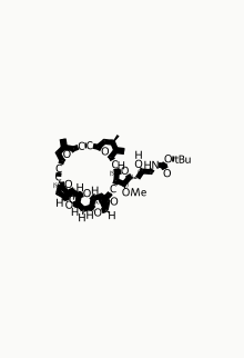 C=C1CC2CC[C@@]34C[C@H]5O[C@H]6[C@@H](O3)[C@H]3O[C@H](CC[C@@H]3O[C@H]6[C@H]5O4)CC(=O)CC3[C@H](CC4OC(CCC1O2)C[C@@H](C)C4=C)O[C@H](C[C@H](O)CNC(=O)OC(C)(C)C)[C@@H]3OC